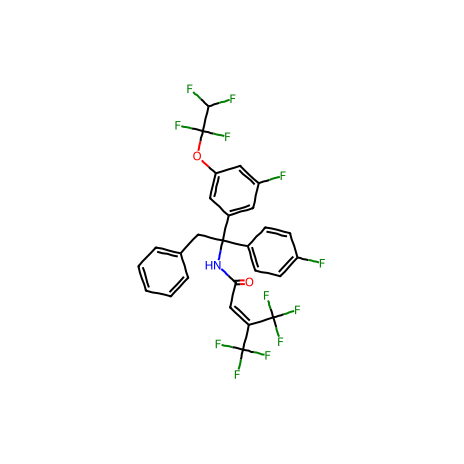 O=C(C=C(C(F)(F)F)C(F)(F)F)NC(Cc1ccccc1)(c1ccc(F)cc1)c1cc(F)cc(OC(F)(F)C(F)F)c1